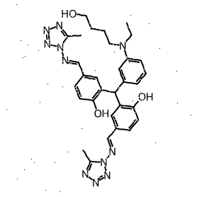 CCN(CCCCO)c1cccc(C(c2cc(C=Nn3nnnc3C)ccc2O)c2cc(C=Nn3nnnc3C)ccc2O)c1